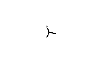 C[CH]([V])I